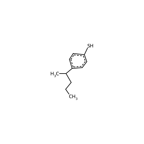 CCCC(C)c1ccc(S)cc1